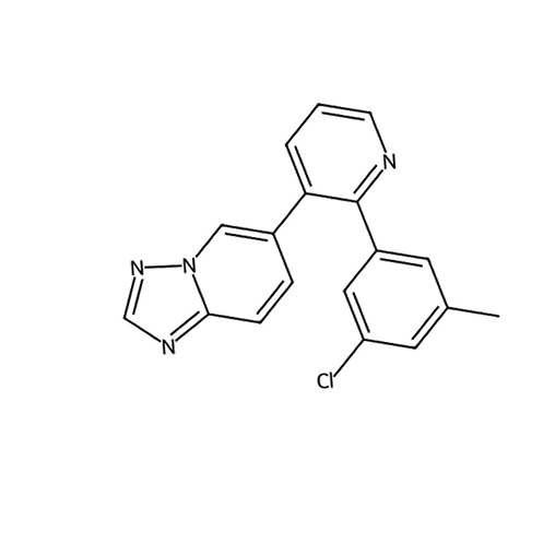 Cc1cc(Cl)cc(-c2ncccc2-c2ccc3ncnn3c2)c1